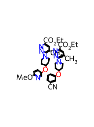 CCOC(=O)c1cc(C)c(N2CCC(Oc3ccc(OC)nc3)CC2)nn1.CCOC(=O)c1cc(C)c(N2CCC(Oc3cccc(C#N)c3)CC2)nn1